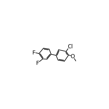 COc1ccc(-c2ccc(F)c(F)c2)cc1Cl